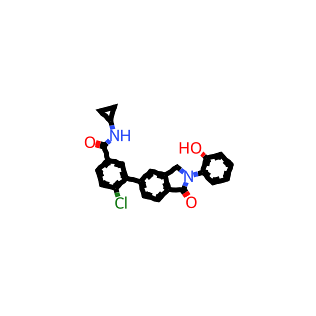 O=C(NC1CC1)c1ccc(Cl)c(-c2ccc3c(c2)CN(c2ccccc2O)C3=O)c1